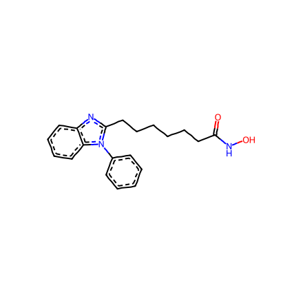 O=C(CCCCCCc1nc2ccccc2n1-c1ccccc1)NO